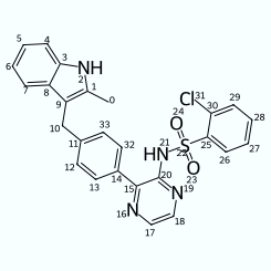 Cc1[nH]c2ccccc2c1Cc1ccc(-c2nccnc2NS(=O)(=O)c2ccccc2Cl)cc1